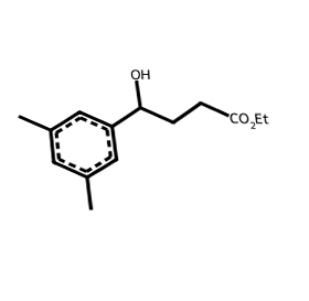 CCOC(=O)CCC(O)c1cc(C)cc(C)c1